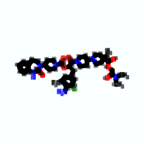 CN(C)C(=O)COC(=O)C1(C)CCN(C2CCN(C(=O)[C@@H](Cc3cc(Cl)c(N)c(C(F)(F)F)c3)OC(=O)N3CCC(N4CCc5ccccc5NC4=O)CC3)CC2)CC1